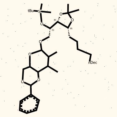 CCCCCCCCCCCCCC[C@H]1OC(C)(C)O[C@H]1[C@H](COC1OC2COC(c3ccccc3)OC2C(C)C1C)O[Si](C)(C)C(C)(C)C